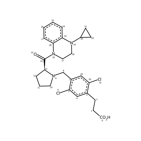 O=C(O)CCc1cc(Cl)c(CN2CCC[C@H]2C(=O)N2CCN(C3CC3)c3ccccc32)cc1Cl